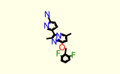 Cc1cc(OCc2c(F)cccc2F)c2nc(C)c(-c3ccc(C#N)nc3)n2c1